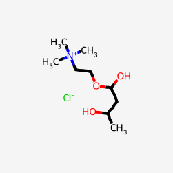 CC(O)CC(O)OCC[N+](C)(C)C.[Cl-]